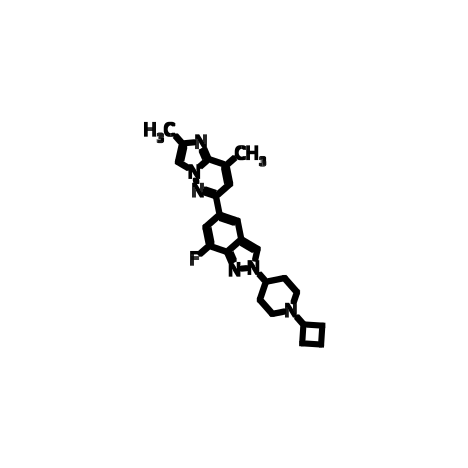 Cc1cn2nc(-c3cc(F)c4nn(C5CCN(C6CCC6)CC5)cc4c3)cc(C)c2n1